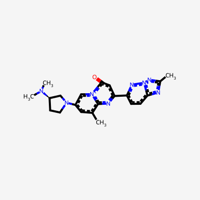 Cc1nc2ccc(-c3cc(=O)n4cc(N5CC[C@@H](N(C)C)C5)cc(C)c4n3)nn2n1